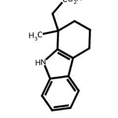 CC1(CC(=O)O)CCCc2c1[nH]c1ccccc21